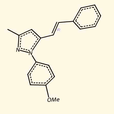 COc1ccc(-n2nc(C)cc2/C=C/c2ccccc2)cc1